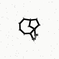 OC1CCCCC2CCC1(O)C2